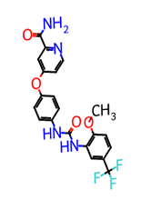 COc1ccc(C(F)(F)F)cc1NC(=O)Nc1ccc(Oc2ccnc(C(N)=O)c2)cc1